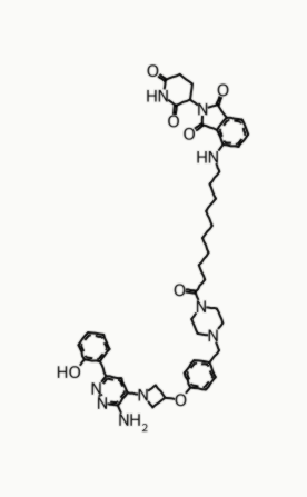 Nc1nnc(-c2ccccc2O)cc1N1CC(Oc2ccc(CN3CCN(C(=O)CCCCCCCCCNc4cccc5c4C(=O)N(C4CCC(=O)NC4=O)C5=O)CC3)cc2)C1